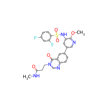 CNC(=O)CCn1cnc2ccc(-c3cnc(OC)c(NS(=O)(=O)c4ccc(F)cc4F)c3)cc2c1=O